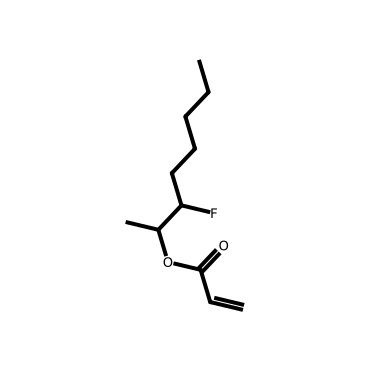 C=CC(=O)OC(C)C(F)CCCCC